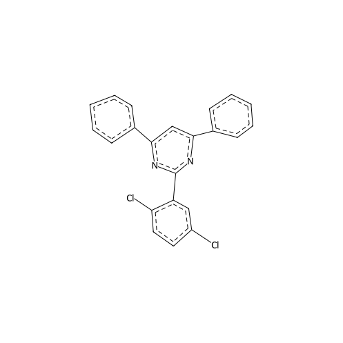 Clc1ccc(Cl)c(-c2nc(-c3ccccc3)cc(-c3ccccc3)n2)c1